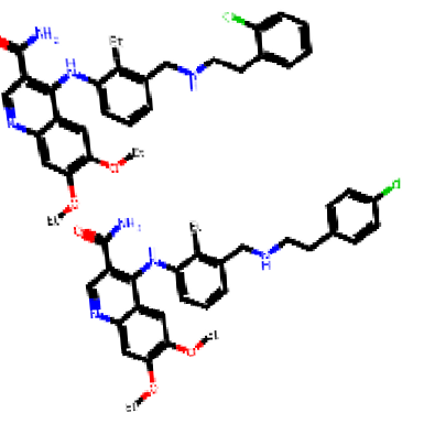 CCOc1cc2ncc(C(N)=O)c(Nc3cccc(CNCCc4ccc(Cl)cc4)c3CC)c2cc1OCC.CCOc1cc2ncc(C(N)=O)c(Nc3cccc(CNCCc4ccccc4Cl)c3CC)c2cc1OCC